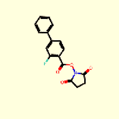 O=C(ON1C(=O)CCC1=O)c1ccc(-c2ccccc2)cc1F